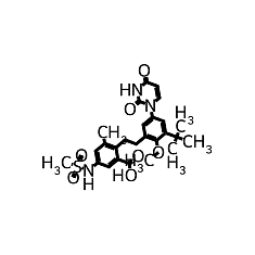 COc1c(CCc2c(C)cc(NS(C)(=O)=O)cc2C(=O)O)cc(-n2ccc(=O)[nH]c2=O)cc1C(C)(C)C